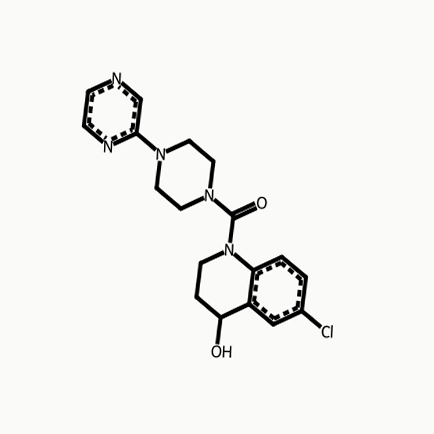 O=C(N1CCN(c2cnccn2)CC1)N1CCC(O)c2cc(Cl)ccc21